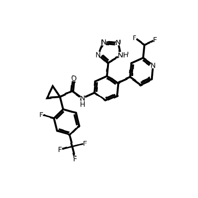 O=C(Nc1ccc(-c2ccnc(C(F)F)c2)c(-c2nnn[nH]2)c1)C1(c2ccc(C(F)(F)F)cc2F)CC1